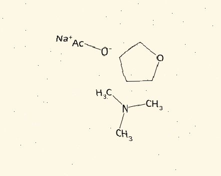 C1CCOC1.CC(=O)[O-].CN(C)C.[Na+]